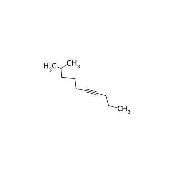 CCCC#CCCCC(C)C